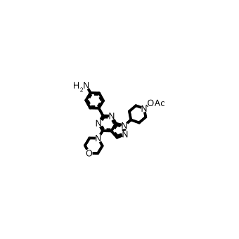 CC(=O)ON1CCC(n2ncc3c(N4CCOCC4)nc(-c4ccc(N)cc4)nc32)CC1